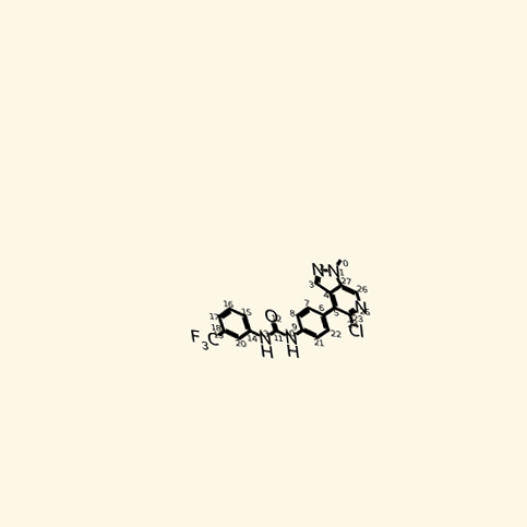 Cn1ncc2c(-c3ccc(NC(=O)Nc4cccc(C(F)(F)F)c4)cc3)c(Cl)ncc21